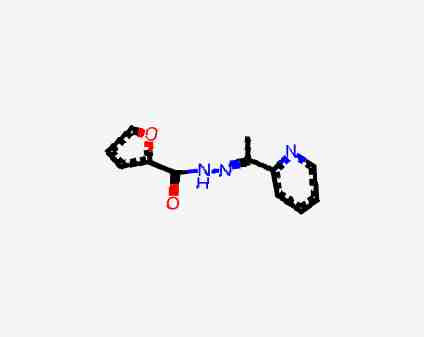 CC(=NNC(=O)c1ccco1)c1ccccn1